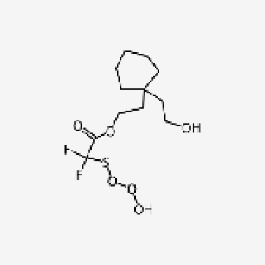 O=C(OCCC1(CCO)CCCCC1)C(F)(F)SOOO